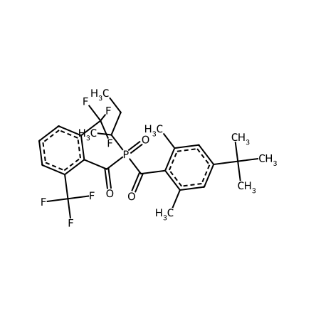 CCC(C)P(=O)(C(=O)c1c(C)cc(C(C)(C)C)cc1C)C(=O)c1c(C(F)(F)F)cccc1C(F)(F)F